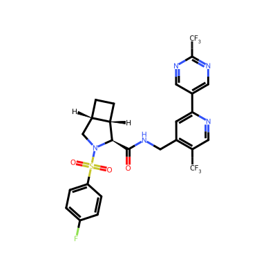 O=C(NCc1cc(-c2cnc(C(F)(F)F)nc2)ncc1C(F)(F)F)[C@@H]1[C@H]2CC[C@H]2CN1S(=O)(=O)c1ccc(F)cc1